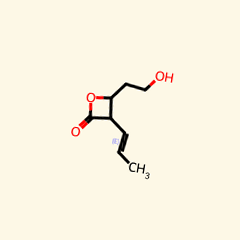 C/C=C/C1C(=O)OC1CCO